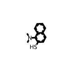 CN(C)c1c(S)ccc2ccccc12